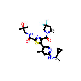 Cc1cc(N[C@@H](C)C2CC2)ncc1-c1sc(C(=O)NCC(C)(C)O)nc1C(=O)N1CC(F)(F)C[C@@H]1C